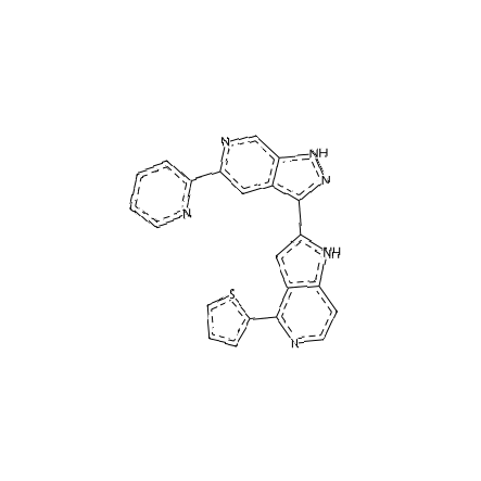 c1ccc(-c2cc3c(-c4cc5c(-c6cccs6)nccc5[nH]4)n[nH]c3cn2)nc1